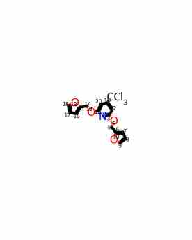 ClC(Cl)(Cl)c1cc(OCc2ccco2)nc(OCc2ccco2)c1